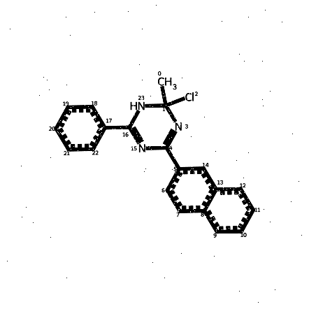 CC1(Cl)N=C(c2ccc3ccccc3c2)N=C(c2ccccc2)N1